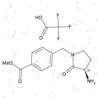 COC(=O)c1ccc(CN2CC[C@@H](N)C2=O)cc1.O=C(O)C(F)(F)F